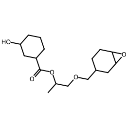 CC(COCC1CCC2OC2C1)OC(=O)C1CCCC(O)C1